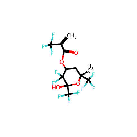 C=C(C(=O)OC1CC(C)(C(F)(F)F)OC(O)(C(F)(F)F)C1(F)F)C(F)(F)F